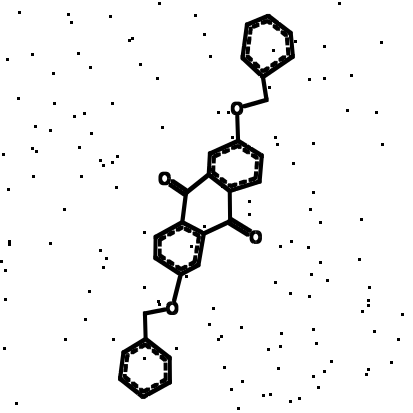 O=C1c2ccc(OCc3ccccc3)cc2C(=O)c2ccc(OCc3ccccc3)cc21